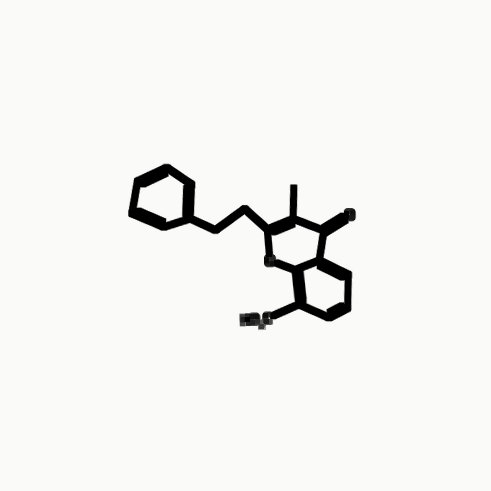 Cc1c(CCc2ccccc2)oc2c(C(=O)O)cccc2c1=O